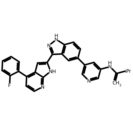 C=C(Nc1cncc(-c2ccc3[nH]nc(-c4cc5c(-c6ccccc6F)ccnc5[nH]4)c3c2)c1)C(C)C